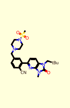 Cn1c(=O)n(CC(C)(C)C)c2ccc(-c3cc(CN4CCN(S(C)(=O)=O)CC4)ccc3C#N)nc21